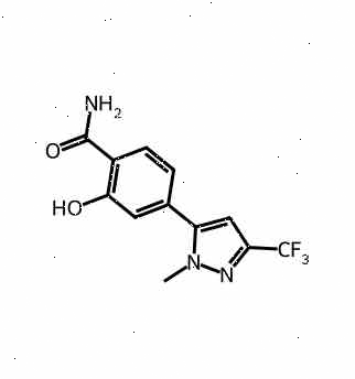 Cn1nc(C(F)(F)F)cc1-c1ccc(C(N)=O)c(O)c1